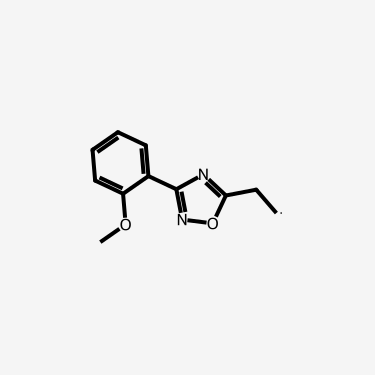 [CH2]Cc1nc(-c2ccccc2OC)no1